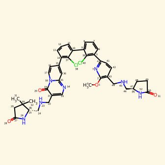 COc1nc(-c2cccc(-c3cccc(-c4ccn5c(=O)c(CNC[C@@H]6NC(=O)CC6(C)C)cnc5c4)c3Cl)c2Cl)ccc1CNC[C@H]1CCC(=O)N1